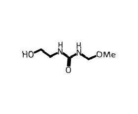 COCNC(=O)NCCO